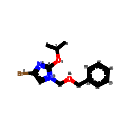 CC(C)Oc1nc(Br)cn1COCc1ccccc1